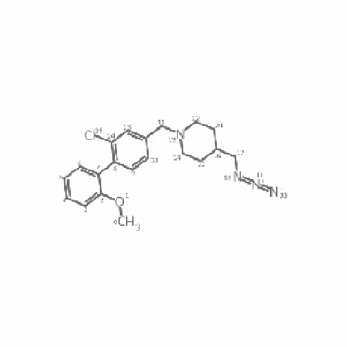 COc1ccccc1-c1ccc(CN2CCC(CN=[N+]=[N-])CC2)cc1Cl